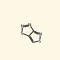 c1snc2nnsc12